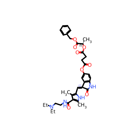 CCN(CC)CCNC(=O)c1c(C)[nH]c(/C=C2\C(=O)Nc3ccc(OC(=O)CCC(=O)O[C@@H](C)C(=O)OCc4ccccc4)cc32)c1C